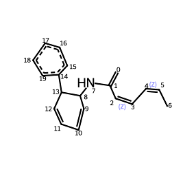 C=C(/C=C\C=C/C)NC1C=CC=CC1c1ccccc1